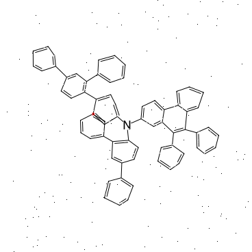 c1ccc(-c2ccc(-c3ccc(N(c4ccc5c(c4)c(-c4ccccc4)c(-c4ccccc4)c4ccccc45)c4ccc(-c5ccccc5)cc4-c4ccccc4)cc3)c(-c3ccccc3)c2)cc1